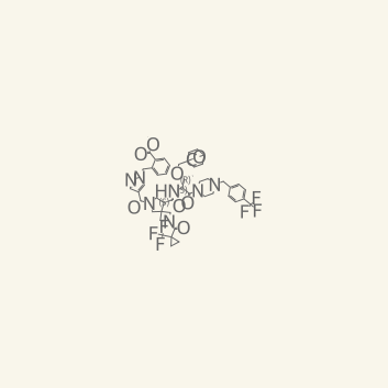 COC(=O)c1ccccc1Cn1cc(C(=O)N2C[C@@H](C(=O)N[C@H](C(=O)N3CCN(Cc4ccc(C(F)(F)F)cc4)CC3)[C@@H](C)OCC34CCC(CC3)OC4)C3(C2)CN(C(=O)C2(C(F)(F)F)CC2)C3)cn1